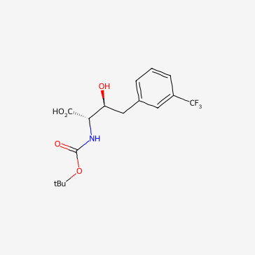 CC(C)(C)OC(=O)N[C@H](C(=O)O)[C@@H](O)Cc1cccc(C(F)(F)F)c1